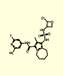 CCC1OCC1NS(=O)(=O)Nc1c(C)c(C(=O)Nc2cc(F)nc(C#N)c2)n2c1CCCCC2